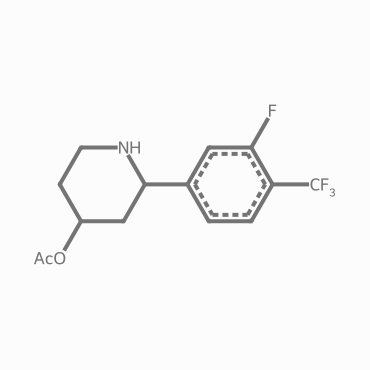 CC(=O)OC1CCNC(c2ccc(C(F)(F)F)c(F)c2)C1